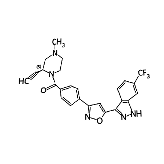 C#C[C@H]1CN(C)CCN1C(=O)c1ccc(-c2cc(-c3n[nH]c4cc(C(F)(F)F)ccc34)on2)cc1